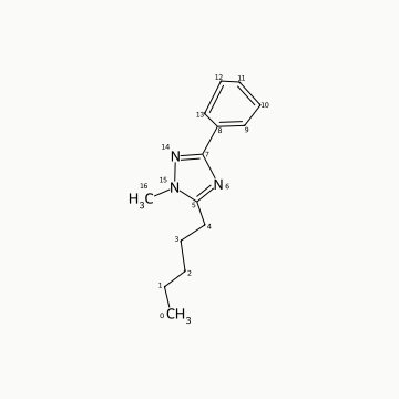 CCCCCc1nc(-c2ccccc2)nn1C